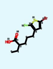 CCC(CCCc1cc(Br)sc1F)C(=O)O